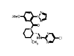 COc1ccc(-n2nccn2)c(C(=O)N2CCC[C@@H](C)[C@H]2CNc2ncc(Cl)cn2)c1